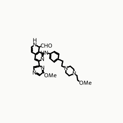 COCCN1CCN(CCc2ccc(Nc3nc(-c4cncc(OC)n4)cc4c3C(C=O)NC=C4)cc2)CC1